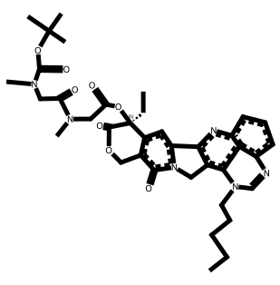 CCCCCN1C=Nc2cccc3nc4c(c1c23)Cn1c-4cc2c(c1=O)COC(=O)[C@@]2(CC)OC(=O)CN(C)C(=O)CN(C)C(=O)OC(C)(C)C